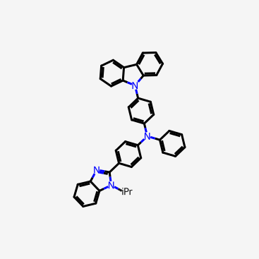 CC(C)n1c(-c2ccc(N(c3ccccc3)c3ccc(-n4c5ccccc5c5ccccc54)cc3)cc2)nc2ccccc21